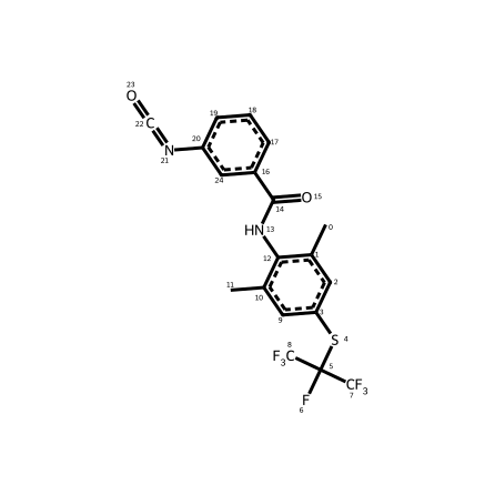 Cc1cc(SC(F)(C(F)(F)F)C(F)(F)F)cc(C)c1NC(=O)c1cccc(N=C=O)c1